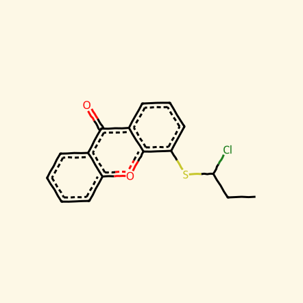 CCC(Cl)Sc1cccc2c(=O)c3ccccc3oc12